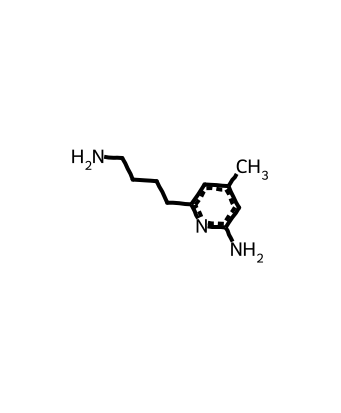 Cc1cc(N)nc(CCCCN)c1